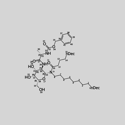 CCCCCCCCCCCCCCCCCCN(C(=O)CCCCCCCCCCCCC)[C@@H]1O[C@H](CO)[C@H](O)[C@H](O)[C@H]1NC(=O)[C@H](C)NC(=O)OCc1ccccc1